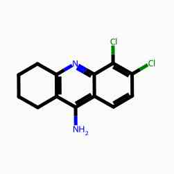 Nc1c2c(nc3c(Cl)c(Cl)ccc13)CCCC2